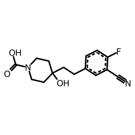 N#Cc1cc(CCC2(O)CCN(C(=O)O)CC2)ccc1F